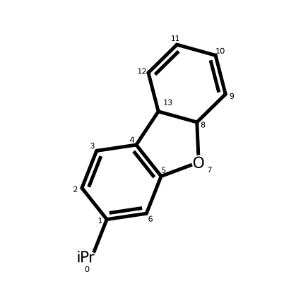 CC(C)c1ccc2c(c1)OC1C=CC=CC21